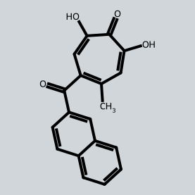 Cc1cc(O)c(=O)c(O)cc1C(=O)c1ccc2ccccc2c1